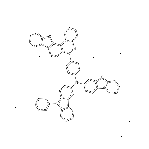 c1ccc(-n2c3ccccc3c3cc(N(c4ccc(-c5nc6ccccc6c6c5ccc5c7ccccc7oc56)cc4)c4ccc5c(c4)oc4ccccc45)ccc32)cc1